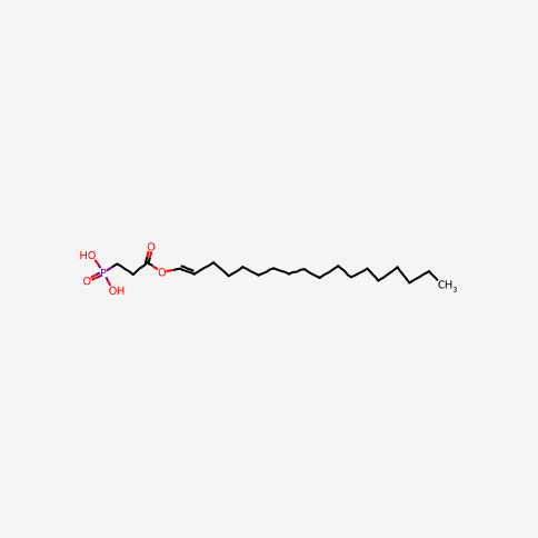 CCCCCCCCCCCCCCCC/C=C/OC(=O)CCP(=O)(O)O